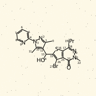 Cc1nn(-c2ccccn2)c(C)c1C(O)c1sc2c(C(C)C)nn(C)c(=O)c2c1Br